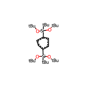 CC(C)(C)O[Si](OC(C)(C)C)(c1ccc([Si](OC(C)(C)C)(OC(C)(C)C)C(C)(C)C)cc1)C(C)(C)C